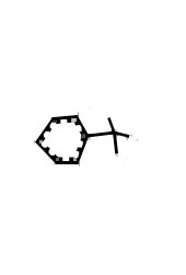 CC(=O)OC(OC(C)=O)(c1ccccc1)[N+](=O)[O-]